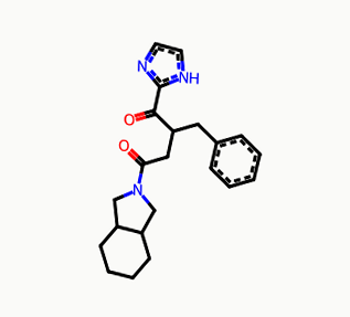 O=C(c1ncc[nH]1)C(CC(=O)N1CC2CCCCC2C1)Cc1ccccc1